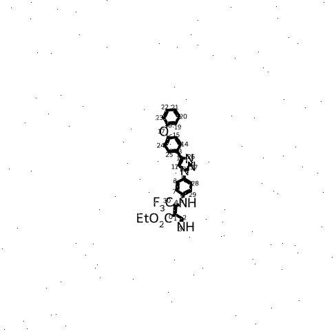 CCOC(=O)/C(C=N)=C(/Nc1ccc(-n2cc(-c3ccc(Oc4ccccc4)cc3)nn2)cc1)C(F)(F)F